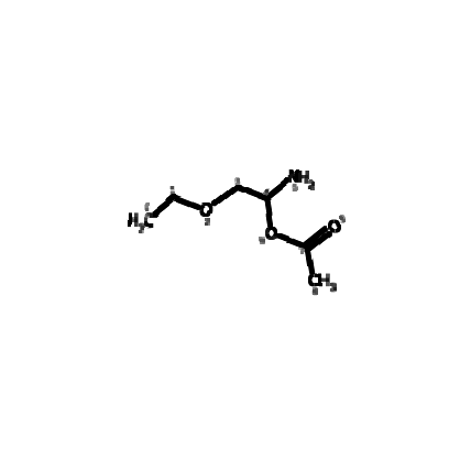 CCOCC(N)OC(C)=O